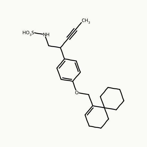 CC#CC(CNS(=O)(=O)O)c1ccc(OCC2=CCCCC23CCCCC3)cc1